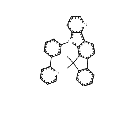 CC1(C)c2ccccc2-c2ccc3c4ncccc4n(-c4cccc(-c5ccccn5)c4)c3c21